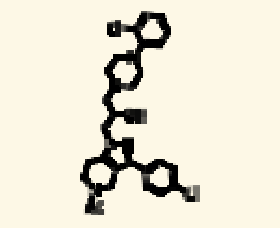 CC(=O)N1CCc2c(c(-c3ccc(Cl)cc3)nn2CC(O)CN2CCN(c3ccccc3Cl)CC2)C1